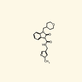 Cn1cc(CNC(=O)n2c(=O)n(CC3CCOCC3)c3ccccc32)cn1